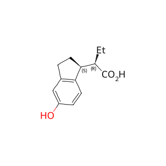 CC[C@@H](C(=O)O)[C@@H]1CCc2cc(O)ccc21